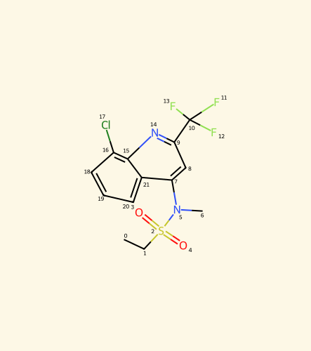 CCS(=O)(=O)N(C)c1cc(C(F)(F)F)nc2c(Cl)cccc12